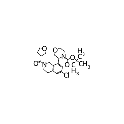 CC(C)(C)OC(=O)N1CCOCC1c1cc(Cl)cc2c1CN(C(=O)C1CCOC1)CC2